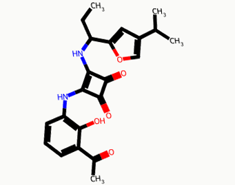 CCC(Nc1c(Nc2cccc(C(C)=O)c2O)c(=O)c1=O)c1cc(C(C)C)co1